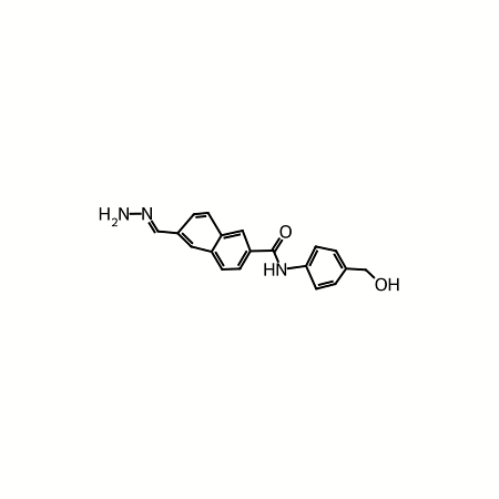 NN=Cc1ccc2cc(C(=O)Nc3ccc(CO)cc3)ccc2c1